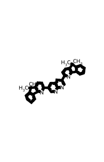 CC1(C)c2ccccc2-c2nc(-c3cnc4ncc(-c5ccc6c(n5)-c5ccccc5C6(C)C)cc4c3)ccc21